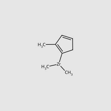 CC1=[C]([Zr]([CH3])[CH3])CC=C1